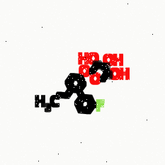 CCCc1ccc(OC2OC[C@@H](O)[C@H](O)[C@@H]2O)cc1-c1cccc(F)c1